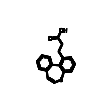 O=C(O)CCc1cccc2c1-c1ccccc1C=CS2